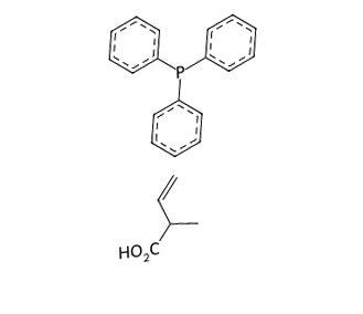 C=CC(C)C(=O)O.c1ccc(P(c2ccccc2)c2ccccc2)cc1